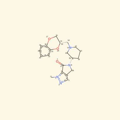 Cn1ncc2c1C(=O)N([C@H]1CCCN(C[C@H]3COc4ccccc4O3)C1)C2